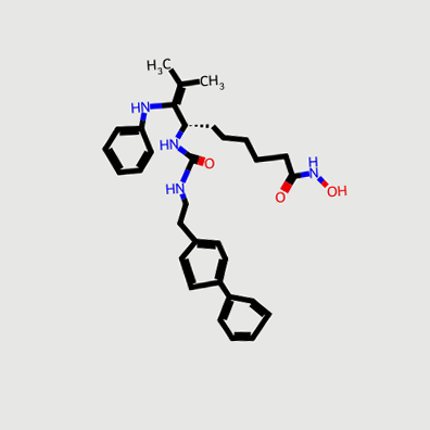 CC(C)=C(Nc1ccccc1)[C@H](CCCCCC(=O)NO)NC(=O)NCCc1ccc(-c2ccccc2)cc1